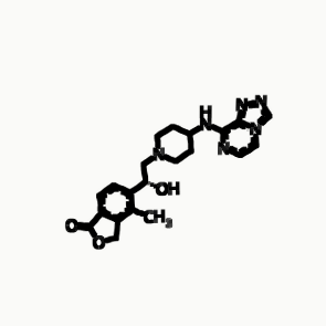 Cc1c([C@@H](O)CN2CCC(Nc3nccn4cnnc34)CC2)ccc2c1COC2=O